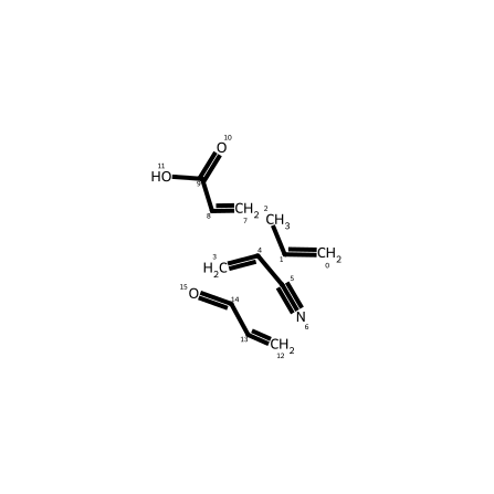 C=CC.C=CC#N.C=CC(=O)O.C=CC=O